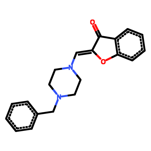 O=C1/C(=C/N2CCN(Cc3ccccc3)CC2)Oc2ccccc21